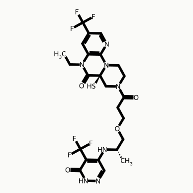 CCN1C(=O)[C@@]2(S)CN(C(=O)CCOC[C@H](C)Nc3cn[nH]c(=O)c3C(F)(F)F)CCN2c2ncc(C(F)(F)F)cc21